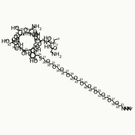 CC[C@H](C)C(NC(=O)CN)C(=O)NCC(=O)N[C@H]1C[S+]([O-])c2[nH]c3c(CSCCOCCOCCOCCOCCOCCOCCOCCOCCOCCOCCOCCN=[N+]=[N-])c(O)ccc3c2C[C@@H](O)NC(=O)C(C(C)C(O)CO)NC(=O)C2CC(O)CN2C(=O)C(CC(N)=O)NC1=O